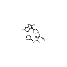 C[C@@H](CN1CCC(n2c(=O)[nH]c3cc(F)ccc32)CC1)NC(=O)C1C[C@H]1c1ccccc1